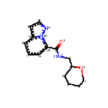 O=C(NCC1CCCCO1)c1cccc2ccnn12